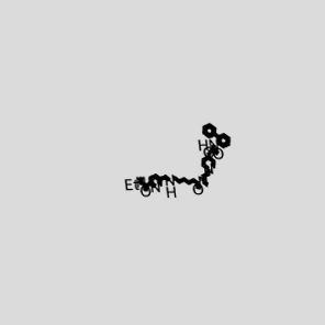 CCN(C)C(=O)c1ccc(CNCCCCCC(=O)N(C)CCN2CCC(OC(=O)Nc3ccccc3-c3ccccc3)CC2)cn1